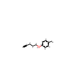 C#CCCCOc1ccc(C)cc1